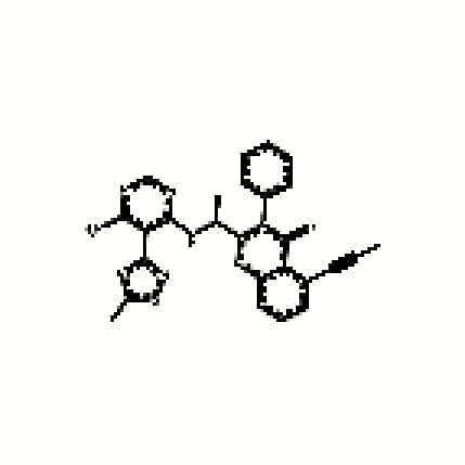 CC#Cc1cccc2nc([C@H](C)Nc3ncnc(N)c3-c3noc(C)n3)n(-c3ccccc3)c(=O)c12